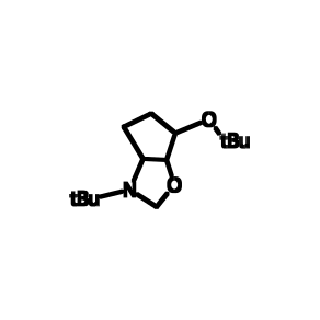 CC(C)(C)OC1CCC2C1OCN2C(C)(C)C